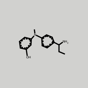 CCC(N)c1ccc(N(C)c2cccc(O)c2)cc1